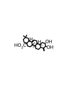 C=C1C(O)C(O)C[C@@]2(C)C1CC[C@]1(C)[C@@H]2CC=C2[C@H]3CC(C)(C)CC[C@]3(C(=O)O)CC[C@]21C